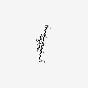 CCCCCCCCSSCCCCCCCC.CCCONC(=O)CCC